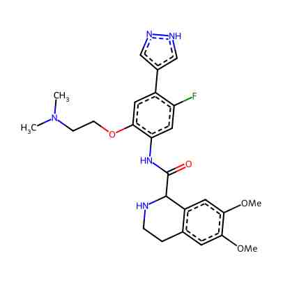 COc1cc2c(cc1OC)C(C(=O)Nc1cc(F)c(-c3cn[nH]c3)cc1OCCN(C)C)NCC2